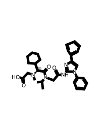 CC(C)N(CC(=O)Nc1nc(-c2ccccc2)cn1-c1ccccc1)C(=O)[C@H](C1CCCCC1)N(C)CC(=O)O